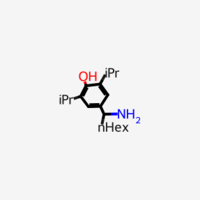 CCCCCCC(N)c1cc(C(C)C)c(O)c(C(C)C)c1